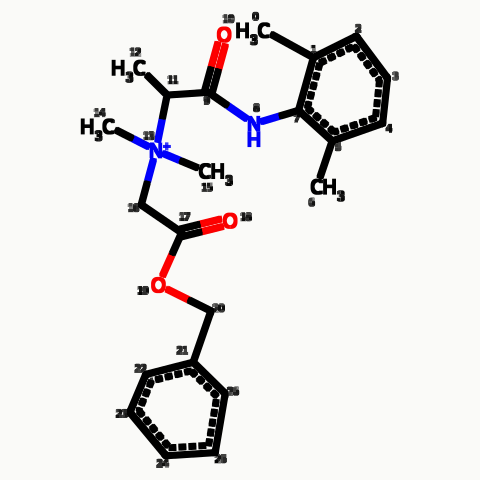 Cc1cccc(C)c1NC(=O)C(C)[N+](C)(C)CC(=O)OCc1ccccc1